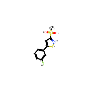 CS(=O)(=O)c1cc(-c2cccc(F)c2)sn1